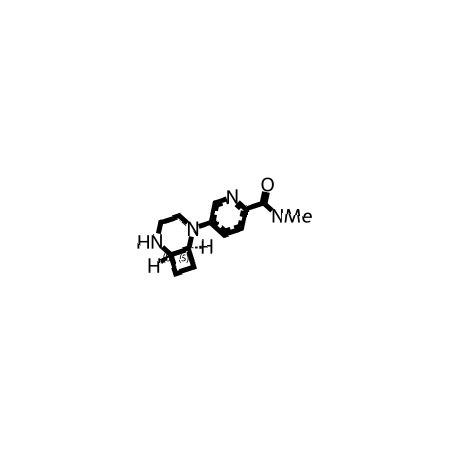 CNC(=O)c1ccc(N2CCN[C@H]3CC[C@@H]32)cn1